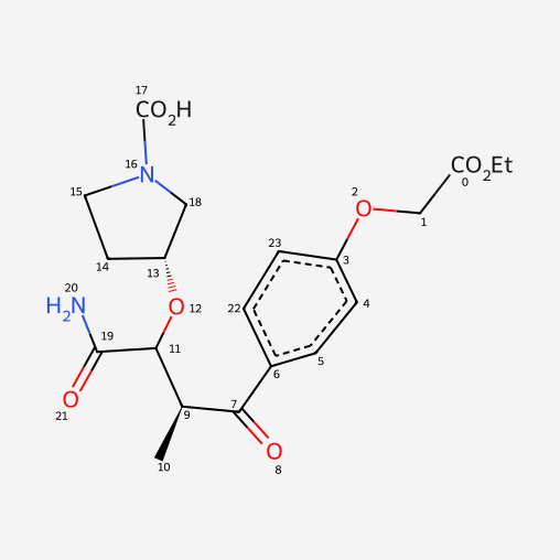 CCOC(=O)COc1ccc(C(=O)[C@@H](C)C(O[C@@H]2CCN(C(=O)O)C2)C(N)=O)cc1